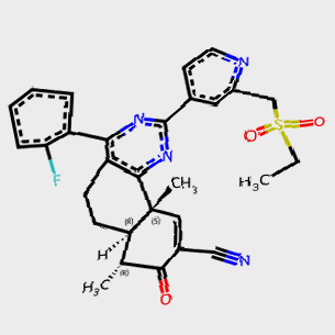 CCS(=O)(=O)Cc1cc(-c2nc(-c3ccccc3F)c3c(n2)[C@]2(C)C=C(C#N)C(=O)[C@H](C)[C@H]2CC3)ccn1